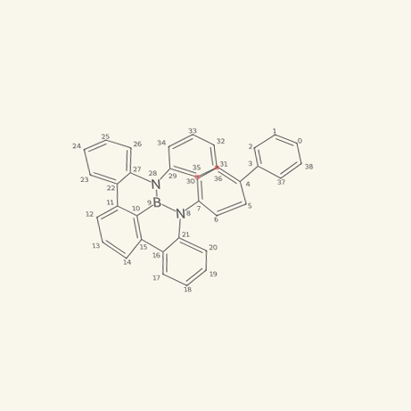 c1ccc(-c2ccc(N3B4c5c(cccc5-c5ccccc53)-c3ccccc3N4c3ccccc3)cc2)cc1